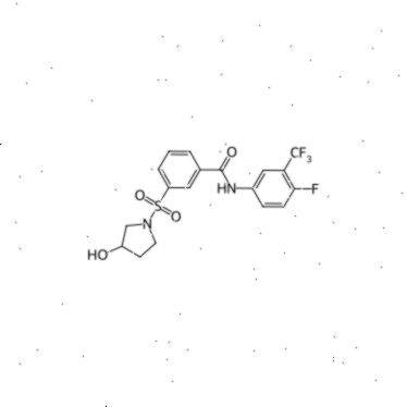 O=C(Nc1ccc(F)c(C(F)(F)F)c1)c1cccc(S(=O)(=O)N2CCC(O)C2)c1